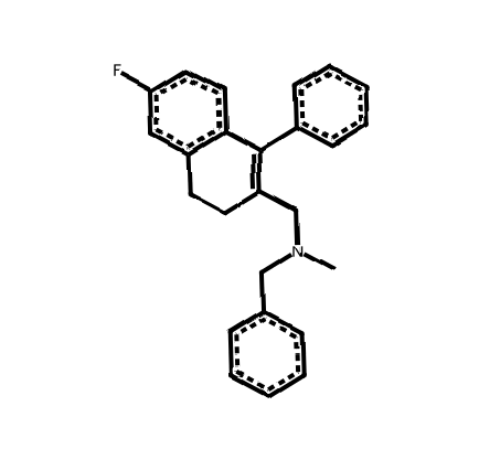 CN(CC1=C(c2ccccc2)c2ccc(F)cc2CC1)Cc1ccccc1